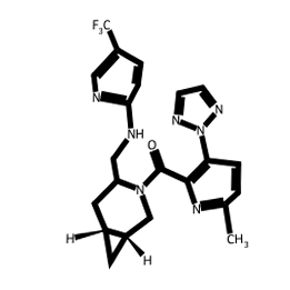 Cc1ccc(-n2nccn2)c(C(=O)N2C[C@@H]3C[C@@H]3CC2CNc2ccc(C(F)(F)F)cn2)n1